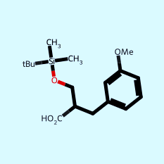 COc1cccc(CC(CO[Si](C)(C)C(C)(C)C)C(=O)O)c1